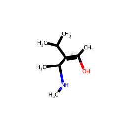 CNC(C)/C(=C(/C)O)C(C)C